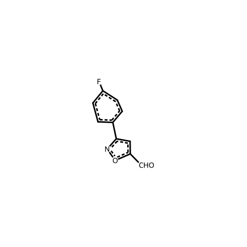 O=Cc1cc(-c2ccc(F)cc2)no1